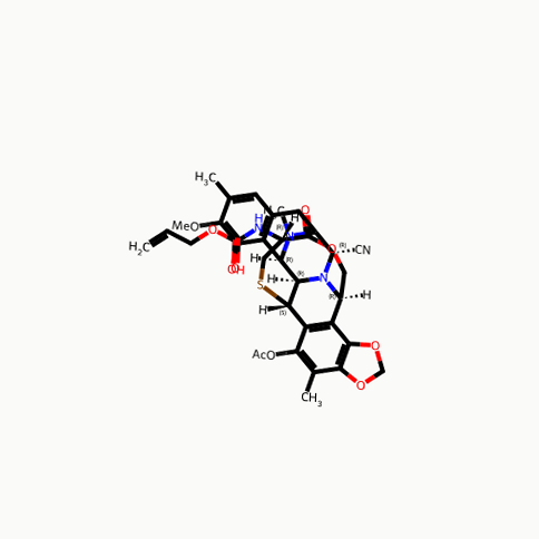 C=CCOC(=O)N[C@H]1CS[C@H]2c3c(OC(C)=O)c(C)c4c(c3[C@H](COC1=O)N1[C@@H]2[C@H]2c3c(cc(C)c(OC)c3O)CC([C@@H]1C#N)N2C)OCO4